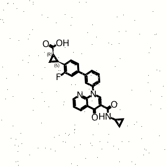 O=C(NC1CC1)c1cn(-c2cccc(-c3ccc([C@H]4C[C@H]4C(=O)O)c(F)c3)c2)c2ncccc2c1=O